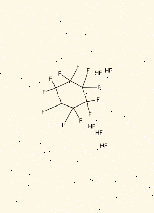 F.F.F.F.F.FC1C(F)(F)C(F)(F)C(F)(F)C(F)(F)C1(F)F